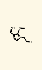 C=Nc1c(C=N)ccn1CC=O